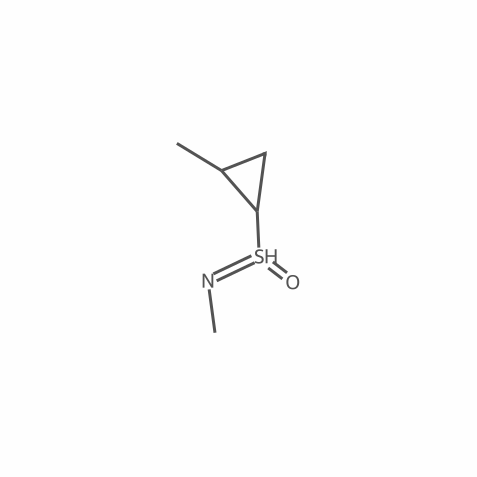 CN=[SH](=O)C1CC1C